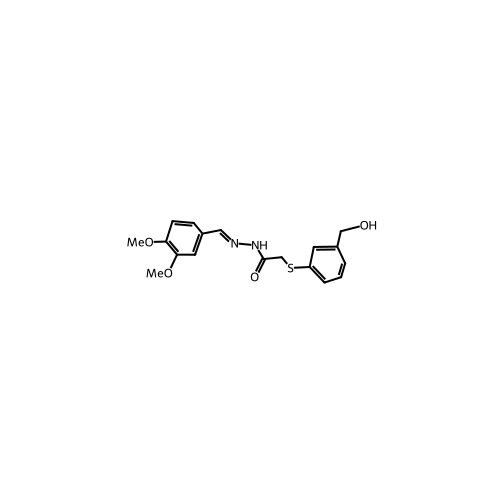 COc1ccc(C=NNC(=O)CSc2cccc(CO)c2)cc1OC